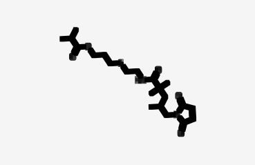 CC(CN1C(=O)C=CC1=O)CC(C)(C)C(=O)NCCSCCCOC(=O)C(C)C